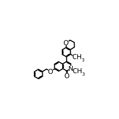 Cc1c(-c2cn(C)c(=O)c3cc(OCc4ccccc4)ccc23)ccc2c1CCCO2